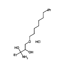 CCC(N)(O)C(O)COCCCCCCCC(C)C.Cl